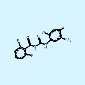 O=C(NC(=O)c1c(F)cccc1F)Nc1cc(C(F)(F)F)c(F)cc1Cl